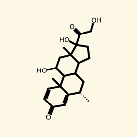 C[C@H]1CC2C(C(O)CC3(C)C2CCC3(O)C(=O)CO)C2(C)C=CC(=O)C=C12